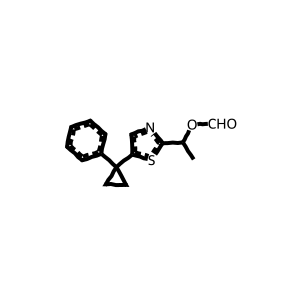 CC(OC=O)c1ncc(C2(c3ccccc3)CC2)s1